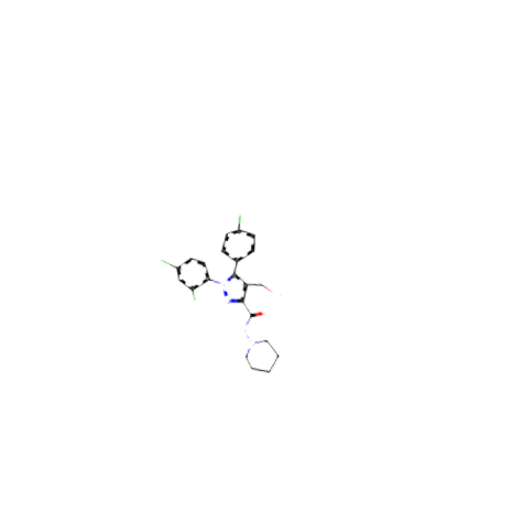 O=C(NN1CCCCC1)c1nn(-c2ccc(Cl)cc2Cl)c(-c2ccc(Cl)cc2)c1CO